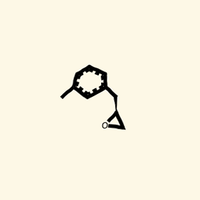 Cc1cccc(C[C@H]2CO2)c1